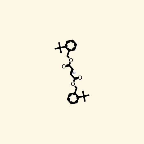 CC(C)(C)c1ccccc1COC(=O)/C=C/C(=O)OCc1ccccc1C(C)(C)C